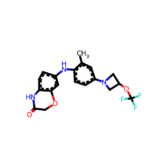 Cc1cc(N2CC(OC(F)(F)F)C2)ccc1Nc1ccc2c(c1)OCC(=O)N2